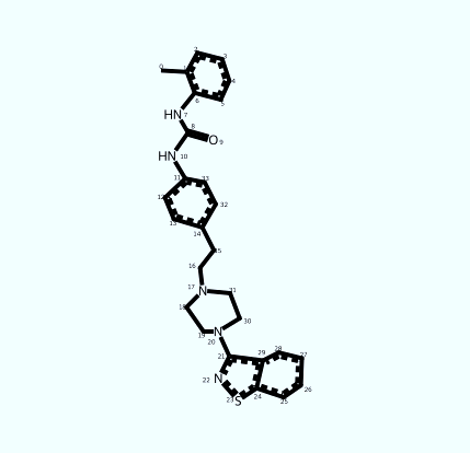 Cc1ccccc1NC(=O)Nc1ccc(CCN2CCN(c3nsc4ccccc34)CC2)cc1